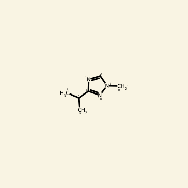 [CH2]n1cnc(C(C)C)n1